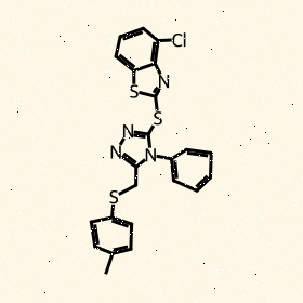 Cc1ccc(SCc2nnc(Sc3nc4c(Cl)cccc4s3)n2-c2ccccc2)cc1